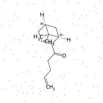 C=CCCC(=O)C1=CC[C@H]2C[C@@H]1C2(C)C